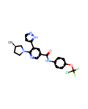 O=N[C@@H]1CCN(c2ncc(C(=O)Nc3ccc(OC(F)(F)Cl)cc3)cc2-c2ccn[nH]2)C1